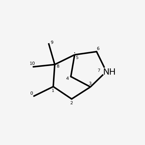 CC1CC2C[C](CN2)C1(C)C